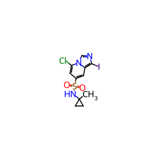 CC1(NS(=O)(=O)c2cc(Cl)n3cnc(I)c3c2)CC1